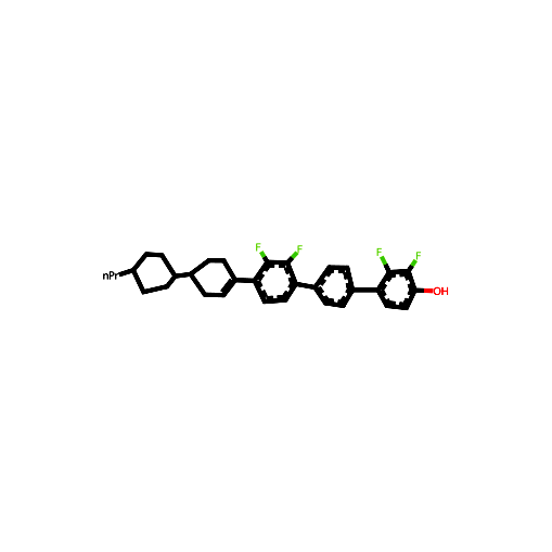 CCCC1CCC(C2CC=C(c3ccc(-c4ccc(-c5ccc(O)c(F)c5F)cc4)c(F)c3F)CC2)CC1